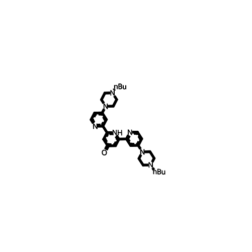 CCCCN1CCN(c2ccnc(-c3cc(=O)cc(-c4cc(N5CCN(CCCC)CC5)ccn4)[nH]3)c2)CC1